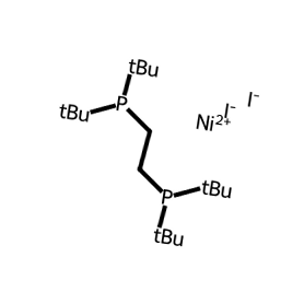 CC(C)(C)P(CCP(C(C)(C)C)C(C)(C)C)C(C)(C)C.[I-].[I-].[Ni+2]